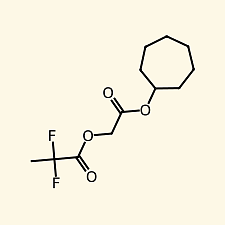 CC(F)(F)C(=O)OCC(=O)OC1CCCCCC1